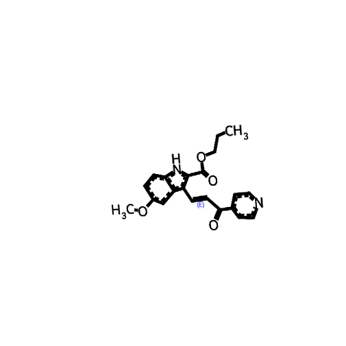 CCCOC(=O)c1[nH]c2ccc(OC)cc2c1/C=C/C(=O)c1ccncc1